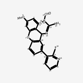 COc1ccc2c(c1)Oc1ccc(-c3cccnc3F)cc1C2/N=C(/N)N(C)C=O